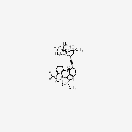 CC[C@H](c1c(C=O)cccc1OC(F)F)n1c(N(C)C)nc2ccc(C#CC(CC(C)(C)O)NSC(C)(C)C)cc21